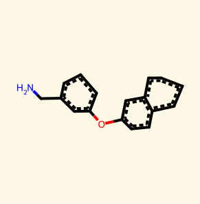 NCc1cccc(Oc2ccc3ccccc3c2)c1